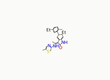 CCc1ccc(C)c(C2C=C3C(=CC2CC)NC(=O)/C3=C(/C)NC2=NC=C(C)SC2)c1